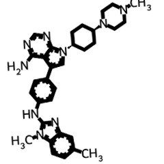 Cc1ccc2c(c1)nc(Nc1ccc(-c3cn([C@H]4CC[C@H](N5CCN(C)CC5)CC4)c4ncnc(N)c34)cc1)n2C